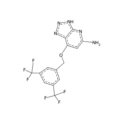 Nc1cc(OCc2cc(C(F)(F)F)cc(C(F)(F)F)c2)c2nn[nH]c2n1